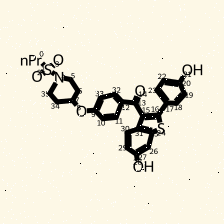 CCCS(=O)(=O)N1CCC(Oc2ccc(C(=O)c3c(-c4ccc(O)cc4)sc4cc(O)ccc34)cc2)CC1